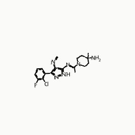 C=Nc1c(-c2cccc(F)c2Cl)n[nH]c1/N=C(\C)N1CCC(C)(N)CC1